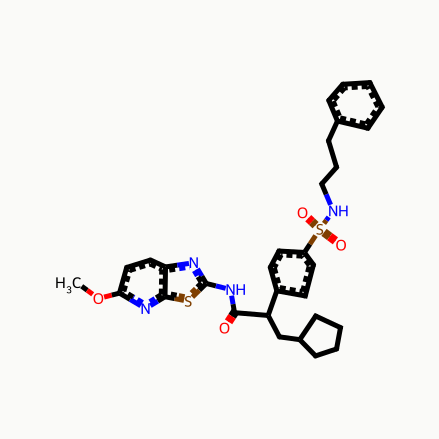 COc1ccc2nc(NC(=O)C(CC3CCCC3)c3ccc(S(=O)(=O)NCCCc4ccccc4)cc3)sc2n1